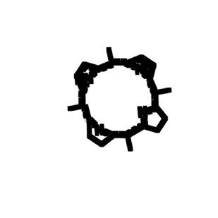 Cc1c2nc(c(C)c3ccc([nH]3)c(C)c3ccc([nH]3)c(C)c3nc1CC3)CC2